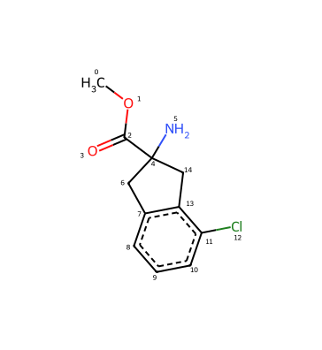 COC(=O)C1(N)Cc2cccc(Cl)c2C1